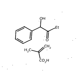 C=C(C)C(=O)O.CCC(=O)C(O)c1ccccc1